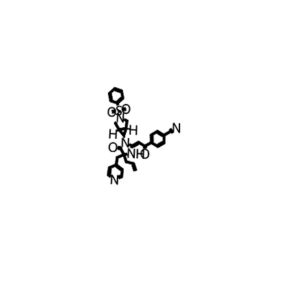 C=CCC1(Cc2ccncc2)N/C(=C\C(=O)c2ccc(C#N)cc2)N([C@H]2[C@@H]3CN(S(=O)(=O)c4ccccc4)C[C@@H]32)C1=O